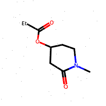 CCC(=O)OC1CCN(C)C(=O)C1